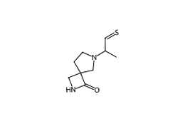 CC(C=S)N1CCC2(CNC2=O)C1